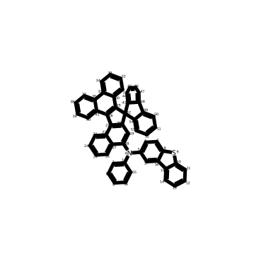 c1ccc(N(c2ccc3sc4ccccc4c3c2)c2cc3c(c4ccccc24)-c2c(c4ccccc4c4ccccc24)C32c3ccccc3-c3ccccc32)cc1